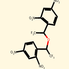 O=[N+]([O-])c1ccc(C(OC(c2ccc([N+](=O)[O-])cc2[N+](=O)[O-])C(F)(F)F)C(F)(F)F)c([N+](=O)[O-])c1